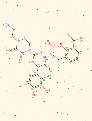 NCCN1CCN(C(=O)NC(C(=O)N[C@H]2Cc3ccc(F)c(C(=O)O)c3OB2O)c2cc(F)c(O)c(O)c2Cl)C(=O)C1=O